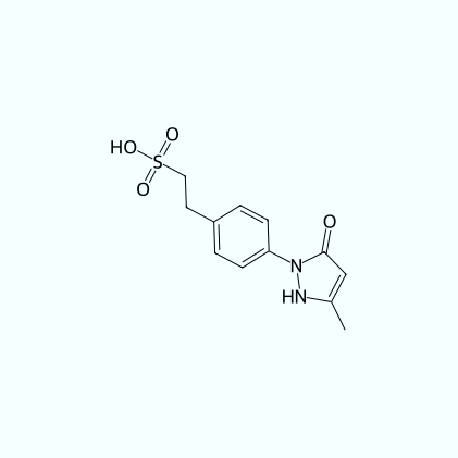 Cc1cc(=O)n(-c2ccc(CCS(=O)(=O)O)cc2)[nH]1